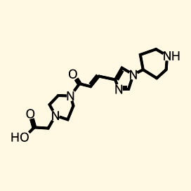 O=C(O)CN1CCN(C(=O)C=Cc2cn(C3CCNCC3)cn2)CC1